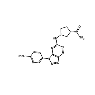 COc1ccc(-n2nnc3cnc(NC4CC[C@@H](C(N)=O)C4)nc32)cn1